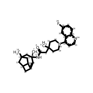 CC1(CC(=O)N[C@]2(C)C=C3CC4CC(C)(CC34)C2)CCN(c2ccnc3ccc(F)cc23)CC1